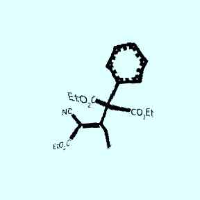 CCOC(=O)C(C#N)=C(C)C(C(=O)OCC)(C(=O)OCC)c1ccccc1